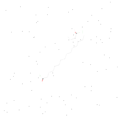 CCC(CCCCCCCCCCCC(=O)Cl)C(CC)C(=O)Cl